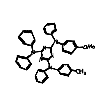 COc1ccc(N(c2ccccc2)c2nc(N(c3ccccc3)c3ccccc3)nc(N(c3ccccc3)c3ccc(C)cc3)n2)cc1